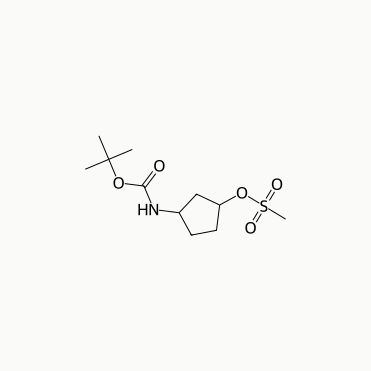 CC(C)(C)OC(=O)NC1CCC(OS(C)(=O)=O)C1